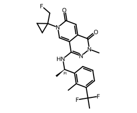 Cc1c([C@@H](C)Nc2nn(C)c(=O)c3cc(=O)n(C4(CF)CC4)cc23)cccc1C(C)(F)F